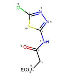 CCOC(=O)CC(=O)Nc1nnc(Cl)s1